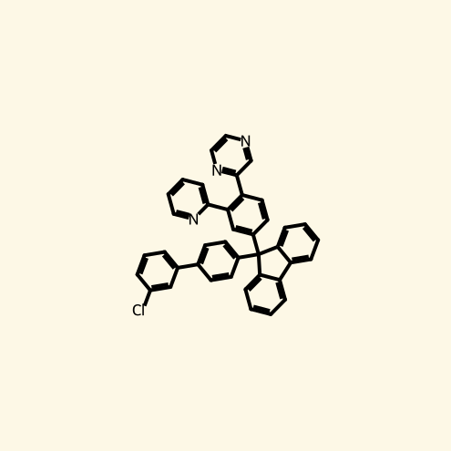 Clc1cccc(-c2ccc(C3(c4ccc(-c5cnccn5)c(-c5ccccn5)c4)c4ccccc4-c4ccccc43)cc2)c1